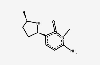 C[C@@H]1CC[C@H](c2ccc(N)n(C)c2=O)N1